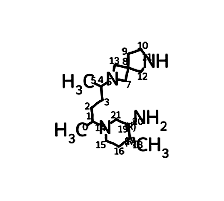 CC(CCC(C)N1CC2(CCNC2)C1)N1CC[C@@H](C)[C@@H](N)C1